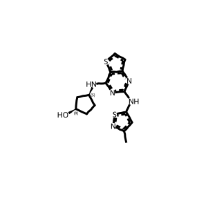 Cc1cc(Nc2nc(N[C@H]3CC[C@@H](O)C3)c3sccc3n2)sn1